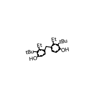 CCc1c(Cc2ccc(O)c(C(C)(C)C)c2CC)ccc(O)c1C(C)(C)C